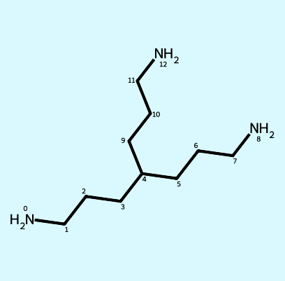 NCCCC(CCCN)CCCN